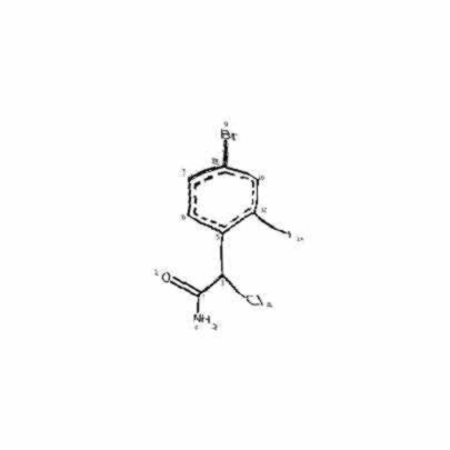 NC(=O)C(Cl)c1ccc(Br)cc1I